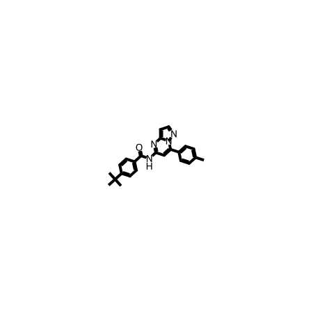 Cc1ccc(-c2cc(NC(=O)c3ccc(C(C)(C)C)cc3)nc3ccnn23)cc1